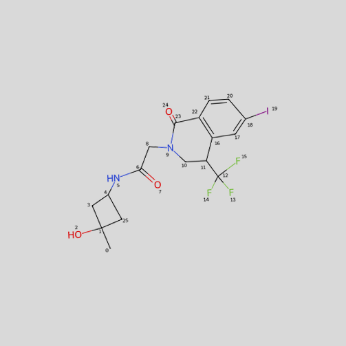 CC1(O)CC(NC(=O)CN2CC(C(F)(F)F)c3cc(I)ccc3C2=O)C1